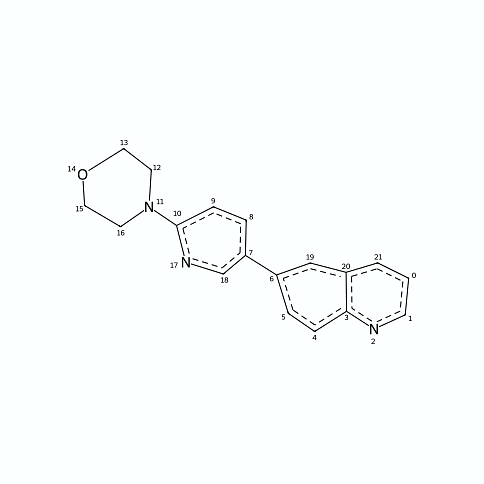 c1cnc2ccc(-c3ccc(N4CCOCC4)nc3)cc2c1